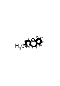 Cc1ccc2c(n1)CCc1ccccc1O2